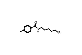 Cc1ccc(C(=O)NCCCCCC(C)C)cc1